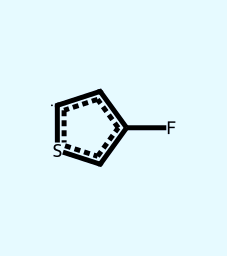 Fc1c[c]sc1